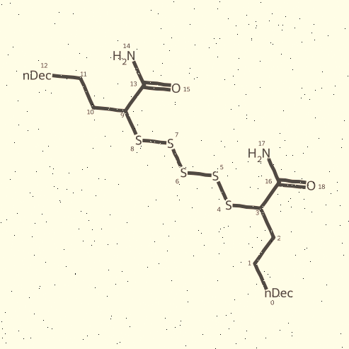 CCCCCCCCCCCCC(SSSSSC(CCCCCCCCCCCC)C(N)=O)C(N)=O